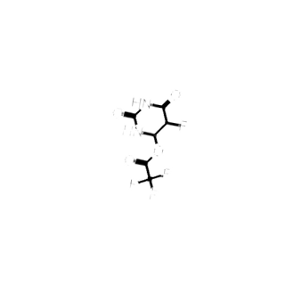 O=C1NC(=O)C(F)C(OC(=O)C(F)(F)F)N1